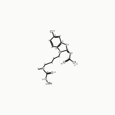 CN(CCCCn1/c(=N\C(=O)C(F)(F)F)sc2cc(Cl)ccc21)C(=O)OC(C)(C)C